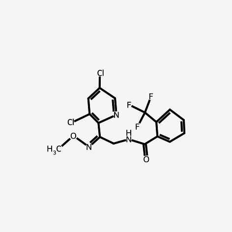 CO/N=C(/CNC(=O)c1ccccc1C(F)(F)F)c1ncc(Cl)cc1Cl